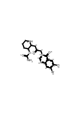 NC(=O)OC1CCCNC1CC(=O)Cn1cnc2cc(Br)c(Cl)cc2c1=O